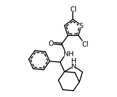 O=C(NC(c1ccccc1)C12CCCC(CN1)C2)c1cc(Cl)sc1Cl